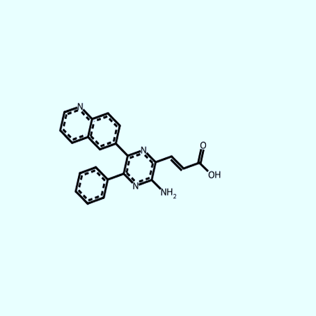 Nc1nc(-c2ccccc2)c(-c2ccc3ncccc3c2)nc1/C=C/C(=O)O